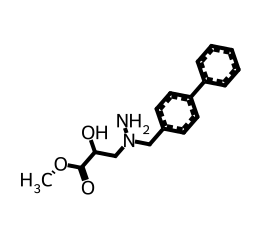 COC(=O)C(O)CN(N)Cc1ccc(-c2ccccc2)cc1